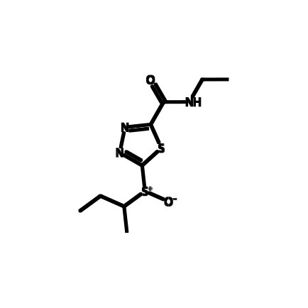 CCNC(=O)c1nnc([S+]([O-])C(C)CC)s1